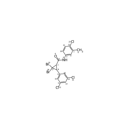 Cc1cc(NC(=O)C2C(c3cc(Cl)cc(Cl)c3)C2(Br)Br)ccc1Cl